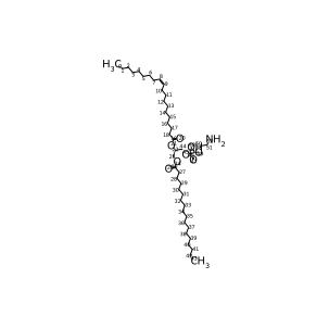 CCCCCCCC/C=C\CCCCCCCCCC(=O)O[C@H](COC(=O)CCCCCCCCCCCCCCCCC)COP(=O)(O)OCCN